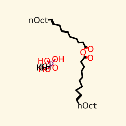 CCCCCCCCC=CCCCCCCCC(=O)OC(=O)CCCCCCCC=CCCCCCCCC.O=P(O)(O)O.[KH].[KH]